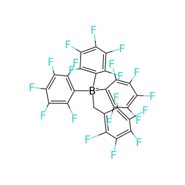 Fc1c(F)c(F)c(C[B-](c2c(F)c(F)c(F)c(F)c2F)(c2c(F)c(F)c(F)c(F)c2F)c2c(F)c(F)c(F)c(F)c2F)c(F)c1F